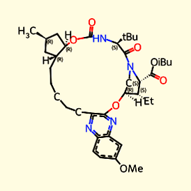 CC[C@@H]1[C@@H]2CN(C(=O)[C@H](C(C)(C)C)NC(=O)O[C@@H]3C[C@H](C)C[C@H]3CCCCCc3nc4ccc(OC)cc4nc3O2)[C@@H]1C(=O)OCC(C)C